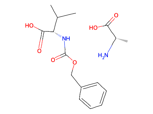 CC(C)[C@H](NC(=O)OCc1ccccc1)C(=O)O.C[C@H](N)C(=O)O